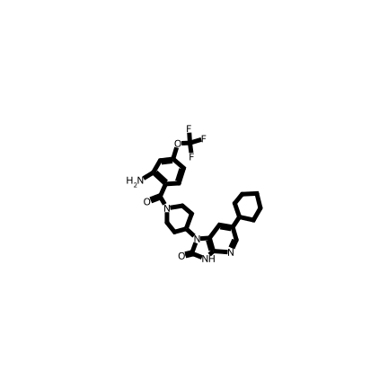 Nc1cc(OC(F)(F)F)ccc1C(=O)N1CCC(n2c(=O)[nH]c3ncc(C4CCCCC4)cc32)CC1